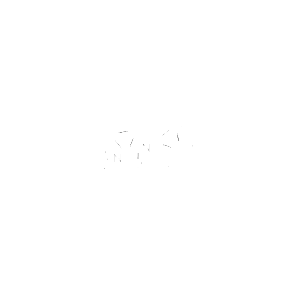 CCOc1cc(C(CSC)N2Cc3cccc(NC(=O)C(C)(C)C)c3C2=O)ccc1OC